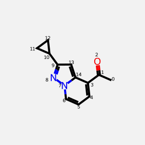 CC(=O)c1cccn2nc(C3CC3)cc12